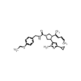 C/C=C\C=C(/C)C1CN(C(=O)NCc2ccc(SCC)cc2)CC1c1cc(C2CC2)nn1C